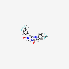 O=C(c1ccc(C(F)(F)F)c(F)c1)N1CCN(C(=O)c2cc3cc(C(F)(F)F)ccc3[nH]2)CC1